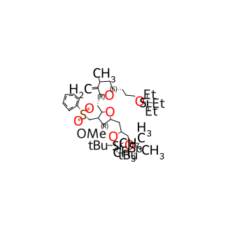 C=C1C(C)C[C@H](CCCO[Si](CC)(CC)CC)O[C@@H]1CC1OC(CC(CO[Si](C)(C)C(C)(C)C)O[Si](C)(C)C(C)(C)C)[C@H](OC)C1CS(=O)(=O)c1ccccc1